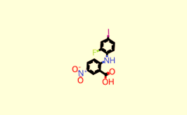 O=C(O)c1cc([N+](=O)[O-])ccc1Nc1ccc(I)cc1F